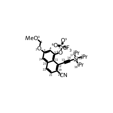 COCOc1cc(OS(=O)(=O)C(F)(F)F)c2c(C#C[Si](C(C)C)(C(C)C)C(C)C)c(C#N)ccc2c1